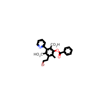 Cc1c(CCBr)c(C(=O)O)c(-c2ccccn2)c(C(=O)O)c1OC(=O)c1ccccc1